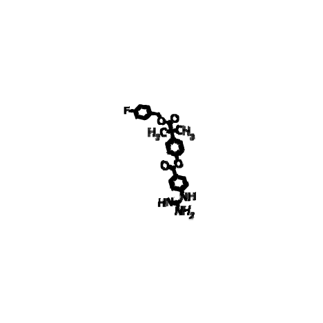 CC(C)(C(=O)OCc1ccc(F)cc1)c1ccc(OC(=O)c2ccc(NC(=N)N)cc2)cc1